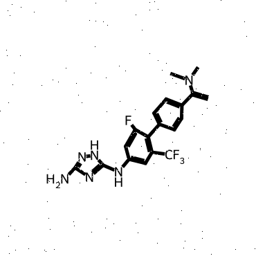 C=C(c1ccc(-c2c(F)cc(Nc3nc(N)n[nH]3)cc2C(F)(F)F)cc1)N(C)C